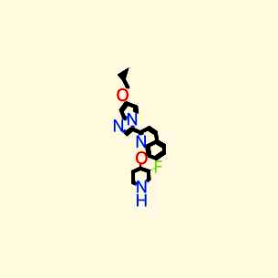 F[C@@H]1CNCC[C@H]1Oc1cccc2ccc(-c3cnc4cc(OCC5CC5)ccn34)nc12